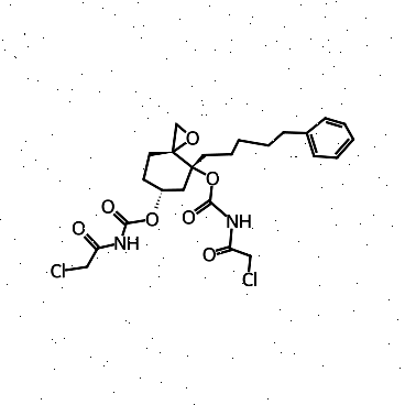 O=C(CCl)NC(=O)O[C@@H]1CC[C@]2(CO2)[C@](CCCCCc2ccccc2)(OC(=O)NC(=O)CCl)C1